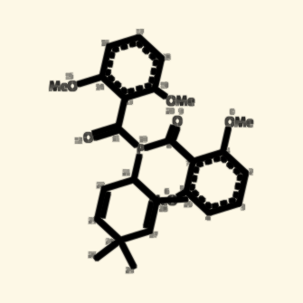 COc1cccc(OC)c1C(=O)P(C(=O)c1c(OC)cccc1OC)C1C=CC(C)(C)C=C1C